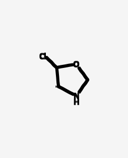 ClC1[CH]NCO1